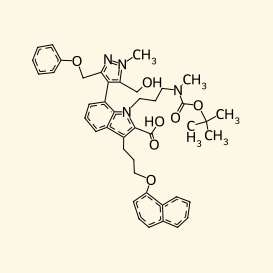 CN(CCCn1c(C(=O)O)c(CCCOc2cccc3ccccc23)c2cccc(-c3c(COc4ccccc4)nn(C)c3CO)c21)C(=O)OC(C)(C)C